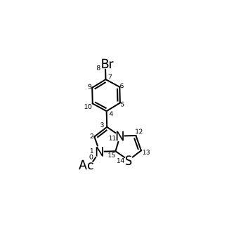 CC(=O)N1C=C(c2ccc(Br)cc2)N2C=CSC12